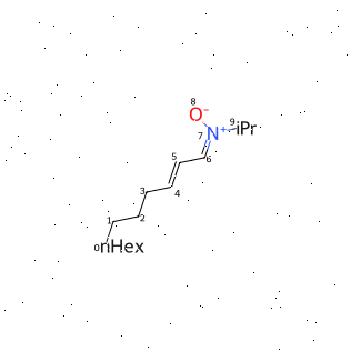 CCCCCCCCCC=CC=[N+]([O-])C(C)C